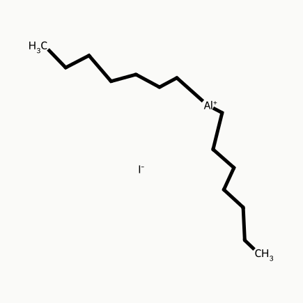 CCCCCC[CH2][Al+][CH2]CCCCCC.[I-]